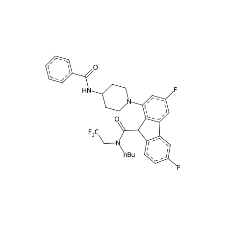 CCCCN(CC(F)(F)F)C(=O)C1c2ccc(F)cc2-c2cc(F)cc(N3CCC(NC(=O)c4ccccc4)CC3)c21